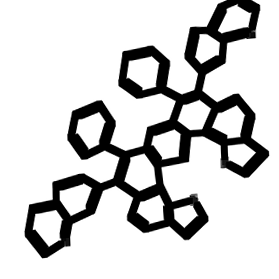 c1ccc(-c2c(-c3ccc4cccnc4c3)c3ccc4ccsc4c3c3cc4c(cc23)c(-c2ccccc2)c(-c2ccc3cccnc3c2)c2ccc3ccsc3c24)cc1